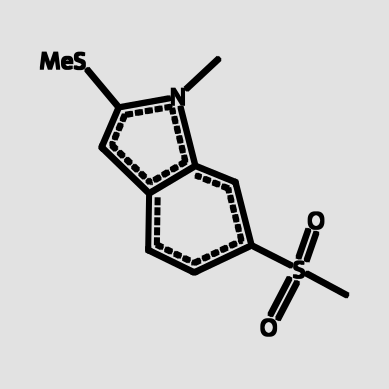 CSc1cc2ccc(S(C)(=O)=O)cc2n1C